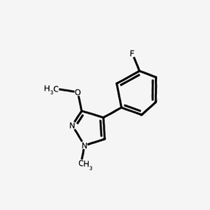 COc1nn(C)cc1-c1cccc(F)c1